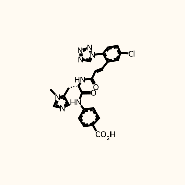 Cn1cncc1C[C@H](NC(=O)C=Cc1cc(Cl)ccc1-n1cnnn1)C(=O)Nc1ccc(C(=O)O)cc1